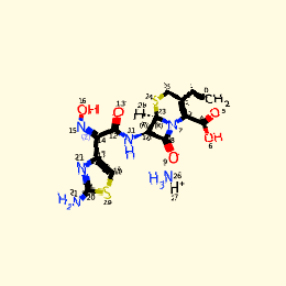 C=CC1=C(C(=O)O)N2C(=O)[C@@H](NC(=O)/C(=N\O)c3csc(N)n3)[C@H]2SC1.N.[H+]